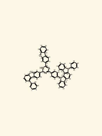 c1ccc(-c2cccc3oc4cc(C5N=C(c6ccc(-n7c8ccccc8c8ccc9c(c%10ccccc%10n9-c9ccccc9)c87)cc6)N=C(c6ccc7c(c6)oc6ccccc67)N5)ccc4c23)cc1